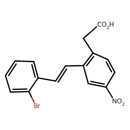 O=C(O)Cc1ccc([N+](=O)[O-])cc1C=Cc1ccccc1Br